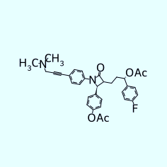 CC(=O)Oc1ccc([C@@H]2C(CC[C@H](OC(C)=O)c3ccc(F)cc3)C(=O)N2c2ccc(C#CCN(C)C)cc2)cc1